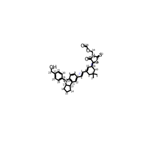 CC1(C)CC(/C=C/c2ccc3c(c2)C2CCCC2N3c2ccc(CO)cc2)=CC(=C2/SC(=S)N(COC=O)C2=O)/C1